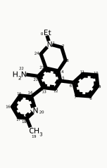 CCN1CCc2c(-c3ccccc3)cc(-c3cccc(C)n3)c(N)c2C1